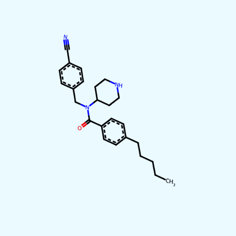 CCCCCc1ccc(C(=O)N(Cc2ccc(C#N)cc2)C2CCNCC2)cc1